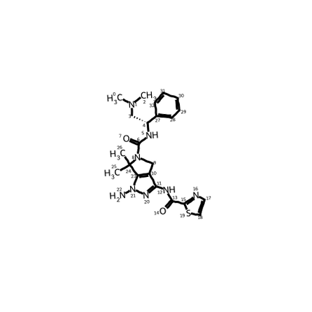 CN(C)C[C@@H](NC(=O)N1Cc2c(NC(=O)c3nccs3)nn(N)c2C1(C)C)c1ccccc1